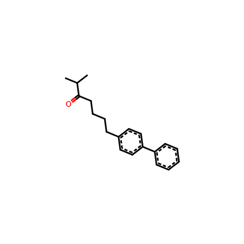 CC(C)C(=O)CCCCc1ccc(-c2ccccc2)cc1